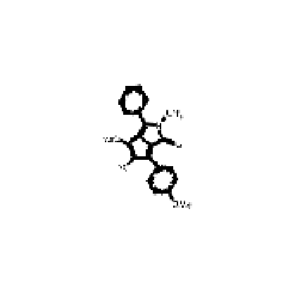 COC1=C(C#N)C(c2ccc(OC)cc2)=C2C(=O)N(C)C(c3ccccc3)=C12